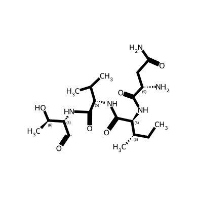 CC[C@H](C)[C@H](NC(=O)[C@@H](N)CC(N)=O)C(=O)N[C@H](C(=O)N[C@H]([C]=O)[C@@H](C)O)C(C)C